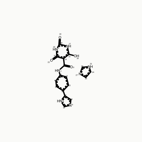 O=C(Nc1ccc(-c2cnc[nH]2)cc1)c1c(O)[nH]c(=O)[nH]c1=O.c1c[nH]cn1